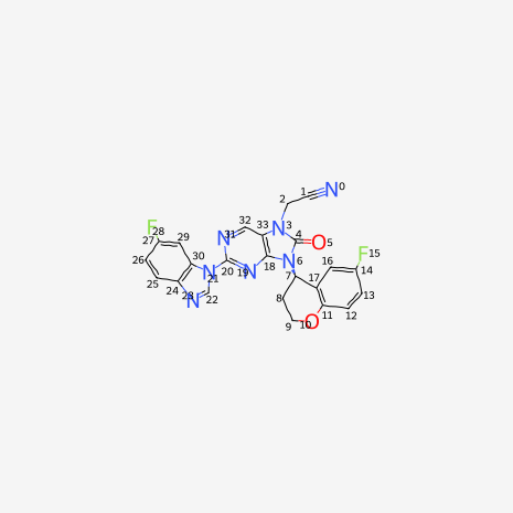 N#CCn1c(=O)n([C@@H]2CCOc3ccc(F)cc32)c2nc(-n3cnc4ccc(F)cc43)ncc21